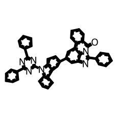 O=c1c2ccccc2c2cc(-c3ccc4c(c3)c3ccccc3n4-c3nc(-c4ccccc4)nc(-c4ccccc4)n3)cc3nc(-c4ccccc4)n1c32